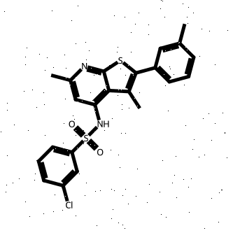 Cc1cccc(-c2sc3nc(C)cc(NS(=O)(=O)c4cccc(Cl)c4)c3c2C)c1